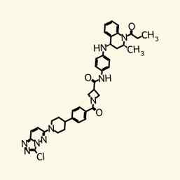 CCC(=O)N1c2ccccc2[C@H](Nc2ccc(NC(=O)C3CN(C(=O)c4ccc(C5CCN(c6ccc7nnc(Cl)n7n6)CC5)cc4)C3)cc2)C[C@@H]1C